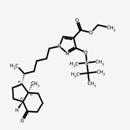 CCOC(=O)c1cn(CCCCC(C)[C@H]2CC[C@H]3C(=O)CCC[C@]23C)nc1O[Si](C)(C)C(C)(C)C